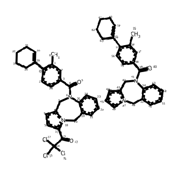 Cc1cc(C(=O)N2Cc3ccc(C(=O)C(Cl)(Cl)Cl)n3Cc3ccccc32)ccc1C1=CCCCC1.Cc1cc(C(=O)N2Cc3cccn3Cc3ccccc32)ccc1C1=CCCCC1